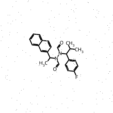 CC(C)C(c1ccc(F)cc1)N(C=O)N(C=O)C(C)c1ccc2ccccc2c1